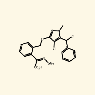 CON=C(C(=O)O)c1ccccc1COc1nn(C)c(C(Cl)c2ccccc2)c1Cl